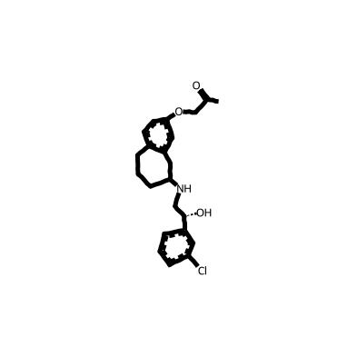 CC(=O)COc1ccc2c(c1)CC(NC[C@H](O)c1cccc(Cl)c1)CCC2